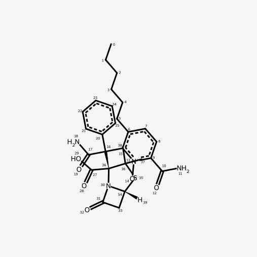 CCCCCCc1ccc(C(N)=O)[n+]([O-])c1C(C(N)=O)(c1ccccc1)[C@]1(C(=O)O)N2C(=O)C[C@H]2SC1(C)C